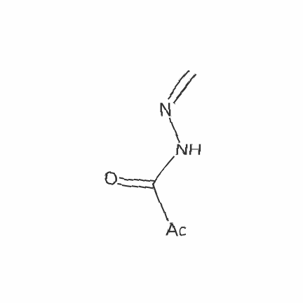 C=NNC(=O)C(C)=O